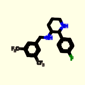 Fc1ccc(C2NCCCC2NCc2cc(C(F)(F)F)cc(C(F)(F)F)c2)cc1